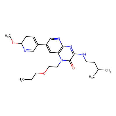 CCCOCCn1c(=O)c(NCCC(C)C)nc2ncc(C3=CCC(OC)N=C3)cc21